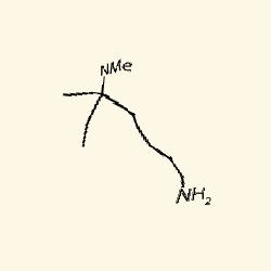 CNC(C)(C)CCCN